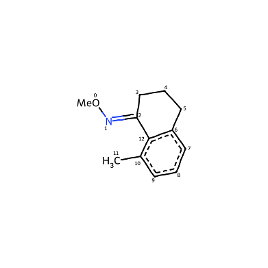 CO/N=C1\CCCc2cccc(C)c21